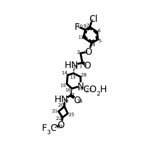 O=C(COc1ccc(Cl)c(F)c1)N[C@H]1CC[C@H](C(=O)NC2CC(OC(F)(F)F)C2)N(C(=O)O)C1